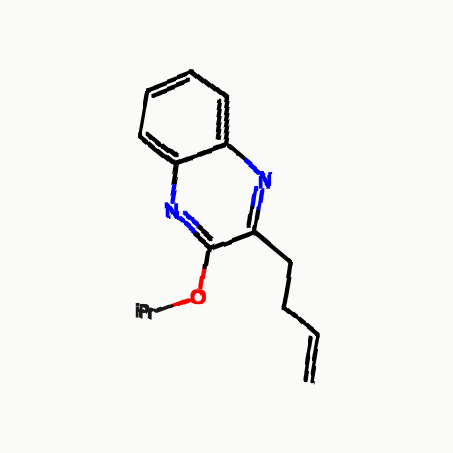 C=CCCc1nc2ccccc2nc1OC(C)C